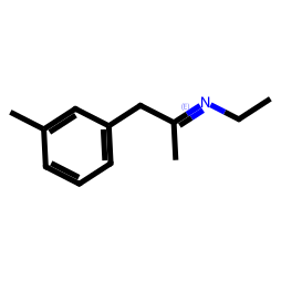 CC/N=C(\C)Cc1cccc(C)c1